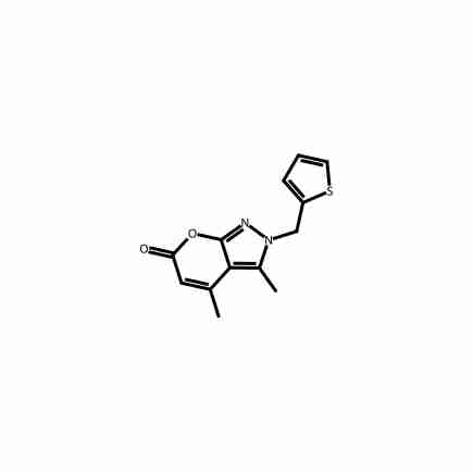 Cc1cc(=O)oc2nn(Cc3cccs3)c(C)c12